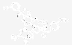 COC[C@H](NC(=O)C(F)(F)c1cccc(Cl)c1)C(=O)N1C[C@H](S(=O)(=O)Cc2ccc(OC)cc2)C[C@H]1C(=O)NC(C(=O)C(F)(F)F)C(C)C